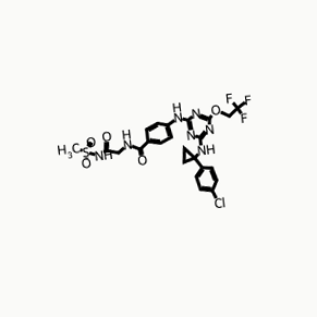 CS(=O)(=O)NC(=O)CNC(=O)c1ccc(Nc2nc(NC3(c4ccc(Cl)cc4)CC3)nc(OCC(F)(F)F)n2)cc1